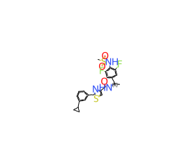 C[C@@H](NC(=O)c1csc(-c2cccc(C3CC3)c2)n1)c1cc(F)c(NS(C)(=O)=O)c(F)c1